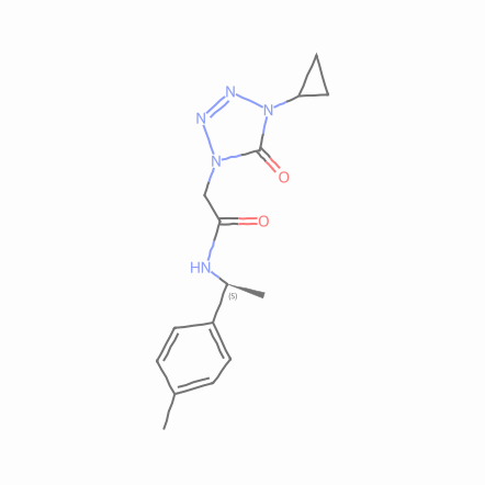 Cc1ccc([C@H](C)NC(=O)Cn2nnn(C3CC3)c2=O)cc1